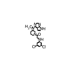 CN(c1ncnc2[nH]ccc12)[C@H]1CCCN(C(=O)CNc2cc(Cl)cc(Cl)c2)C1